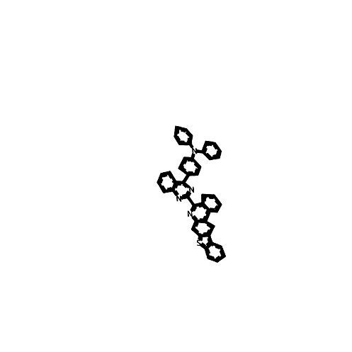 c1ccc(N(c2ccccc2)c2ccc(-c3nc(-c4nc5cc6sc7ccccc7c6cc5c5ccccc45)nc4ccccc34)cc2)cc1